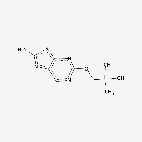 CC(C)(O)COc1ncc2nc(N)sc2n1